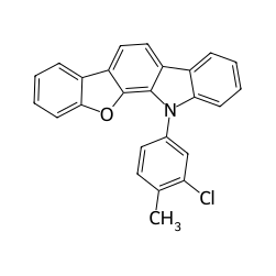 Cc1ccc(-n2c3ccccc3c3ccc4c5ccccc5oc4c32)cc1Cl